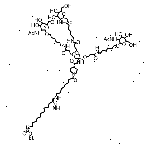 CCO[PH](=O)OCCCCCCCCCC/C(=C/NCCCCCCCC(=O)N1CCC(C(=O)NC(COCCC(=O)NCCCCCCOC2OC(CO)C(O)C(O)C2NC(C)=O)(COCCC(=O)NCCCCCCOC2OC(CO)C(O)C(O)C2NC(C)=O)COCCC(=O)NCCCCCCOC2OC(CO)C(O)C(O)C2NC(C)=O)CC1)N=N